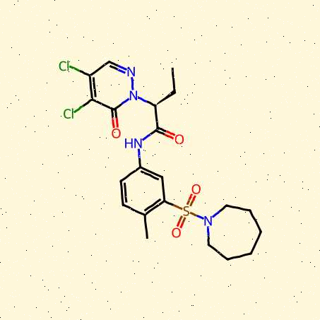 CC[C@@H](C(=O)Nc1ccc(C)c(S(=O)(=O)N2CCCCCC2)c1)n1ncc(Cl)c(Cl)c1=O